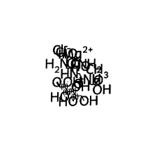 CO.NCC(=O)NCC(=O)NCC(=O)O.NCC(=O)O.O=C[C@H](O)[C@@H](O)[C@H](O)[C@H](O)CO.[Cl-].[Cl-].[Mg+2]